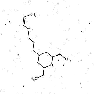 C/C=C\OCCCN1C[C@@H](CC)O[C@@H](CC)C1